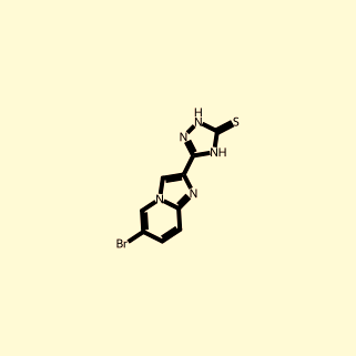 S=c1[nH]nc(-c2cn3cc(Br)ccc3n2)[nH]1